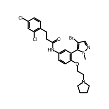 Cn1ncc(Br)c1-c1cc(NC(=O)CCc2ccc(Cl)cc2Cl)ccc1OCCN1CCCC1